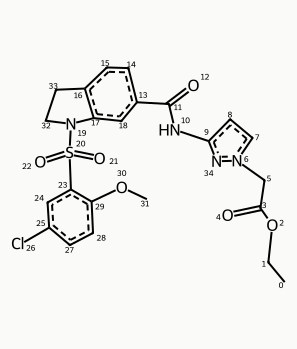 CCOC(=O)Cn1ccc(NC(=O)c2ccc3c(c2)N(S(=O)(=O)c2cc(Cl)ccc2OC)CC3)n1